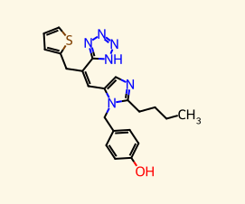 CCCCc1ncc(C=C(Cc2cccs2)c2nnn[nH]2)n1Cc1ccc(O)cc1